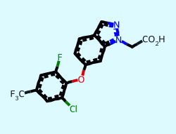 O=C(O)Cn1ncc2ccc(Oc3c(F)cc(C(F)(F)F)cc3Cl)cc21